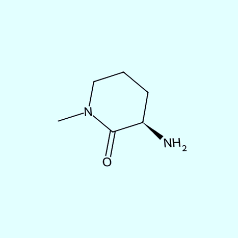 CN1CCC[C@@H](N)C1=O